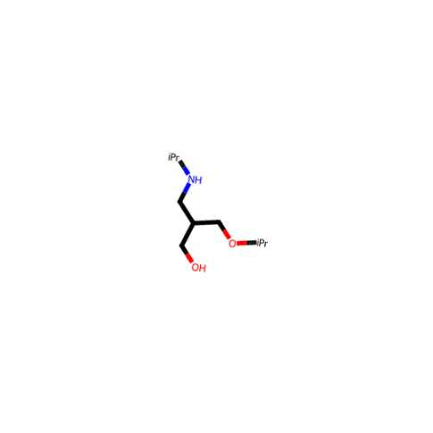 CC(C)NCC(CO)COC(C)C